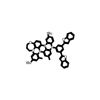 Cc1cc2c3c(c1)N(c1c(C)cc(C(C)(C)C)cc1C)c1c(ccc4c1OCCCO4)B3c1cc(C(C)(C)C)ccc1N2c1cc(-c2cc3ccccc3o2)cc(-c2cc3ccccc3o2)c1